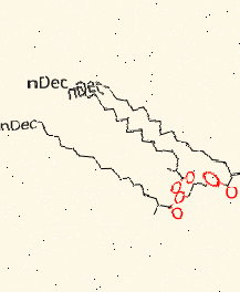 CCCCCCCCCCCCCCCCCCCCCCCCCC(C)C(=O)OCC(COC(=O)C(C)CCCCCCCCCCCCCCCCCCCCCCCCC)OC(=O)C(C)CCCCCCCCCCCCCCCCCCCCCCCCC